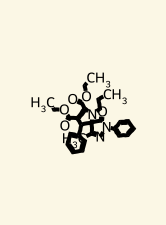 CCCN1C(C(=O)OCC)=C(C(=O)OCC)C(c2ccccc2)C12C(=O)N(c1ccccc1)N=C2C